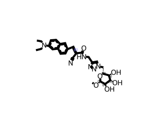 CCN(CC)c1ccc2cc(/C=C(\C#N)C(=O)NCc3cn(C[C@H]4O[C@H](OC)[C@H](O)[C@@H](O)[C@@H]4O)nn3)ccc2c1